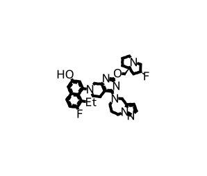 CCc1c(F)ccc2cc(O)cc(N3CCc4c(nc(OC[C@@]56CCCN5C[C@H](F)C6)nc4N4CCCn5nccc5C4)C3)c12